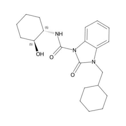 O=C(N[C@H]1CCCC[C@@H]1O)n1c(=O)n(CC2CCCCC2)c2ccccc21